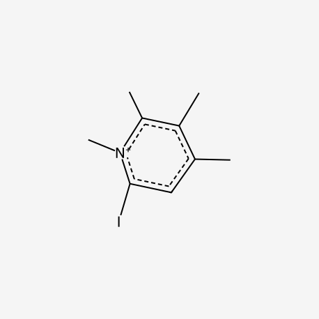 Cc1cc(I)[n+](C)c(C)c1C